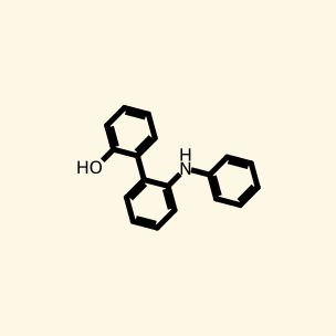 Oc1ccccc1-c1ccccc1Nc1ccccc1